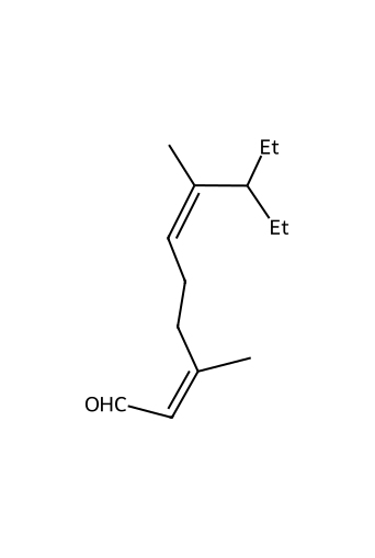 CCC(CC)C(C)=CCC/C(C)=C\C=O